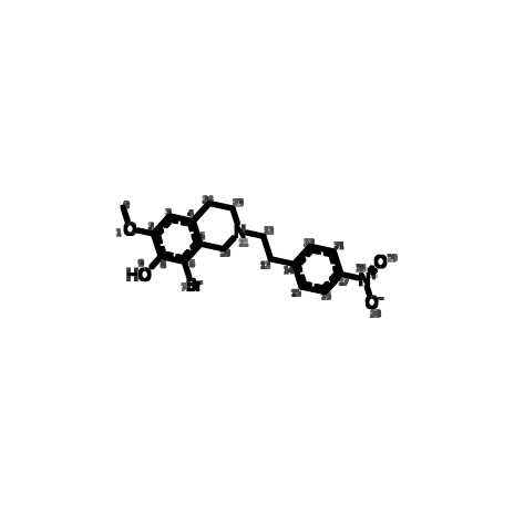 COc1cc2c(c(Br)c1O)CN(CCc1ccc([N+](=O)[O-])cc1)CC2